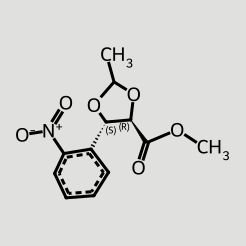 COC(=O)[C@@H]1OC(C)O[C@H]1c1ccccc1[N+](=O)[O-]